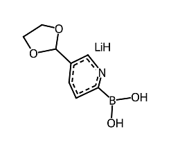 OB(O)c1ccc(C2OCCO2)cn1.[LiH]